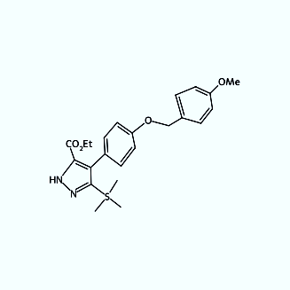 CCOC(=O)c1[nH]nc(S(C)(C)C)c1-c1ccc(OCc2ccc(OC)cc2)cc1